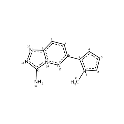 Cn1cccc1-c1ccc2nnc(N)n2n1